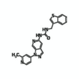 Cc1cc(-n2ncc3cc(NC(=O)NCc4csc5ccccc45)ncc32)ccn1